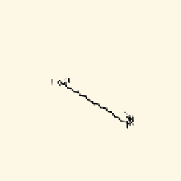 Cc1nnn(C)c1CCCCCCCCCCCCCCCCCC(=O)O